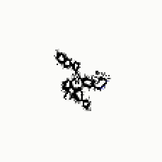 C=C1/C=C\C=C/Cc2ccc(-c3nc(-c4cccc(-c5ccc6ccccc6c5)c4)nc(-c4cccc5oc6cc(-c7ccccc7)ccc6c45)n3)cc2O1